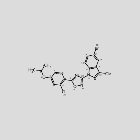 CC(C)Oc1ccc(-c2nc(-n3cc(Cl)c4cc(Br)ccc43)no2)c(Cl)c1